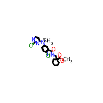 COC(=O)C1(CNC(=O)c2cc(N(C)c3ccnc(Cl)n3)ccc2Cl)CCCCC1